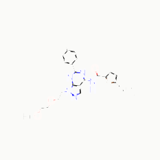 CCOCCOCCn1ncc2c(NC(=O)c3ccc([N+](=O)[O-])s3)nc(-c3ccc(F)cc3)nc21